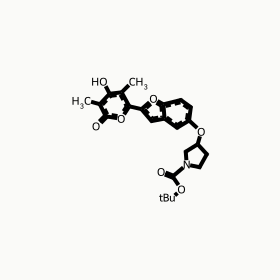 Cc1c(-c2cc3cc(OC4CCN(C(=O)OC(C)(C)C)C4)ccc3o2)oc(=O)c(C)c1O